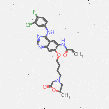 C=CC(=O)Nc1cc2c(Nc3ccc(F)c(Cl)c3)ncnc2cc1OCCCCN1CC(=O)O[C@H](C)C1